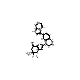 CC1(C)CC(=O)c2sc(N3CCOc4ccc(-c5cnc6cnccn56)cc43)nc2C1